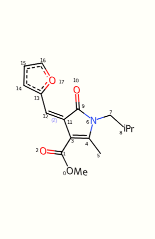 COC(=O)C1=C(C)N(CC(C)C)C(=O)/C1=C\c1ccco1